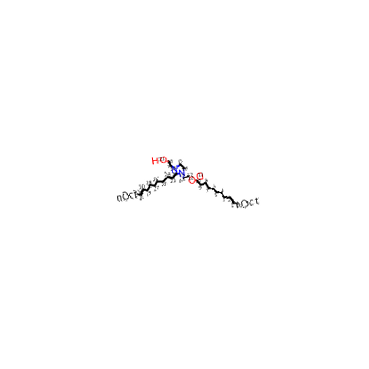 CCCCCCCCC=CCCCCCCCC(=O)OCCN1CCN(CCO)C1CCCCCCCC=CCCCCCCCC